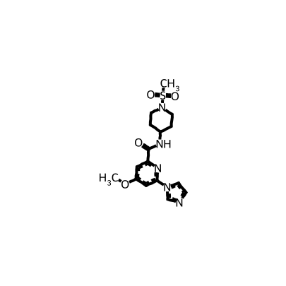 COc1cc(C(=O)NC2CCN(S(C)(=O)=O)CC2)nc(-n2ccnc2)c1